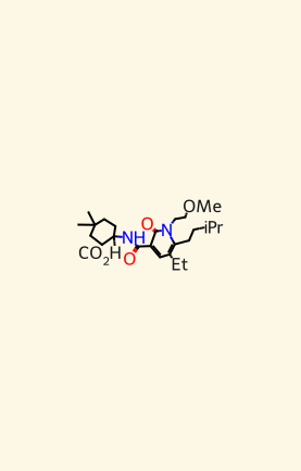 CCc1cc(C(=O)NC2(C(=O)O)CCC(C)(C)CC2)c(=O)n(CCOC)c1CCC(C)C